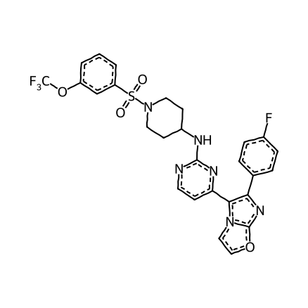 O=S(=O)(c1cccc(OC(F)(F)F)c1)N1CCC(Nc2nccc(-c3c(-c4ccc(F)cc4)nc4occn34)n2)CC1